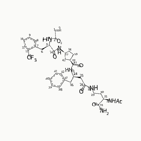 C=CC(=O)N[C@H](Cc1ccccc1C(F)(F)F)C(=O)N[C@H]1CC[C@@H](C(=O)N[C@@H](CC(=O)NCC[C@@H](NC(C)=O)C(N)=O)Cc2ccccc2)C1